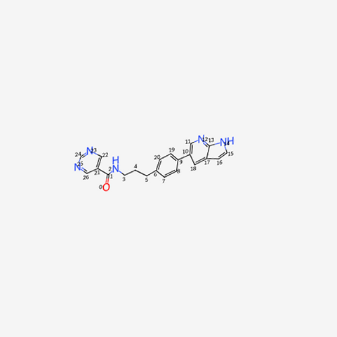 O=C(NCCCc1ccc(-c2cnc3[nH]ccc3c2)cc1)c1cncnc1